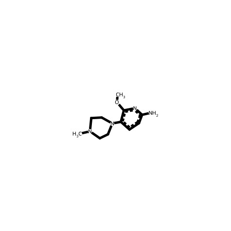 COc1nc(N)ccc1N1CCN(C)CC1